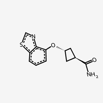 NC(=O)[C@H]1C[C@H](Oc2cccc3scnc23)C1